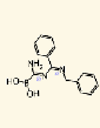 N/C(=N\C(=N/Cc1ccccc1)c1ccccc1)B(O)O